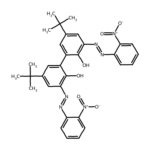 CC(C)(C)c1cc(N=Nc2ccccc2[N+](=O)[O-])c(O)c(-c2cc(C(C)(C)C)cc(N=Nc3ccccc3[N+](=O)[O-])c2O)c1